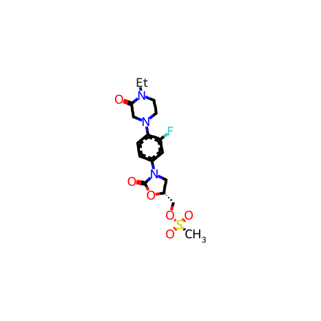 CCN1CCN(c2ccc(N3C[C@H](COS(C)(=O)=O)OC3=O)cc2F)CC1=O